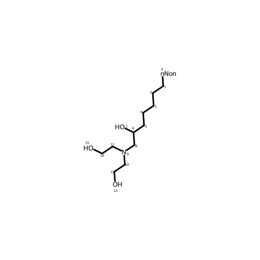 CCCCCCCCCCCCCCC(O)CN(CCO)CCO